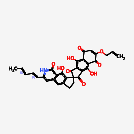 C=CCOC1=CC(=O)c2c(O)c3c(c(O)c2C1=O)C(=O)C1(CCc2cc4cc(/C=C/C=C/C)[nH]c(=O)c4c(O)c21)C3=O